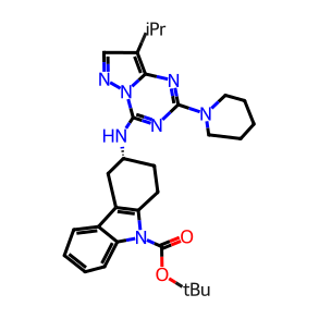 CC(C)c1cnn2c(N[C@@H]3CCc4c(c5ccccc5n4C(=O)OC(C)(C)C)C3)nc(N3CCCCC3)nc12